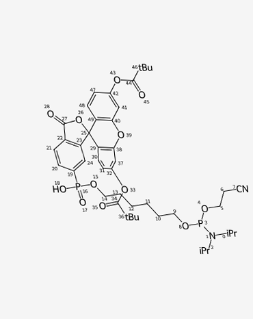 CC(C)N(C(C)C)P(OCCC#N)OCCCCCCOP(=O)(O)c1ccc2c(c1)C1(OC2=O)c2ccc(OC(=O)C(C)(C)C)cc2Oc2cc(OC(=O)C(C)(C)C)ccc21